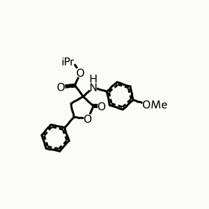 COc1ccc(NC2(C(=O)OC(C)C)CC(c3ccccc3)OC2=O)cc1